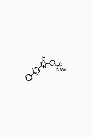 CNC(=O)N1CC[C@H](c2nc(-c3cnc(-c4ccccc4)nc3)c[nH]2)C1